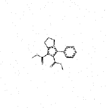 COC(=O)c1c(C(=O)OC)c(-c2cccnc2)n2c1CCC2